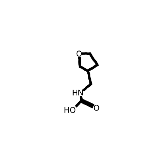 O=C(O)NCC1CCOC1